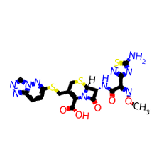 CO/N=C(\C(=O)N[C@@H]1C(=O)N2C(C(=O)O)=C(CSc3ccc4nncn4n3)CS[C@@H]12)c1nsc(N)n1